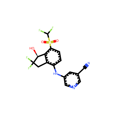 N#Cc1cncc(Nc2ccc(S(=O)(=O)C(F)F)c3c2CC(F)(F)[C@H]3O)c1